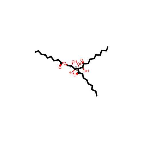 CCCCCCCCC(=O)OC[C@@H](O)[C@H](O)[C@](O)(C(=O)CCCCCCCC)C(O)C(=O)CCCCCCCC